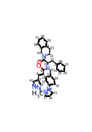 Cn1cc(C=CC(=O)N(Cc2ccc(-n3cccn3)cc2)C(Cc2ccccc2)C(=O)N2CCc3ccccc3C2)cn1